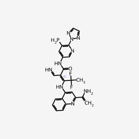 C=C(N)c1cc(N/C(=C(\C=N)C(=O)Nc2cnc(-n3nccn3)c(P)c2)C(C)(F)F)c2ccccc2n1